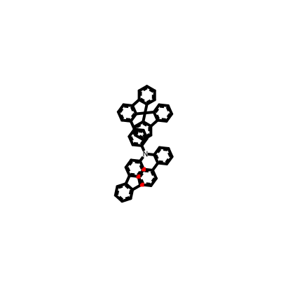 c1ccc(-c2ccccc2N(c2ccc(-c3cccc4c3C3(c5ccccc5-c5ccccc53)c3ccccc3-4)cc2)c2ccc3c(c2)Cc2ccccc2-3)cc1